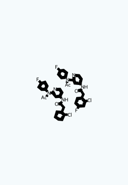 CC(=O)N(c1ccc(F)cc1)c1cc(NC(=O)Cc2ccc(F)cc2Cl)ccn1.CC(=O)N(c1ccc(F)cc1)c1cc(NC(=O)Cc2ccccc2Cl)ccn1